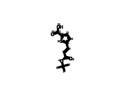 CC(C)(C)OC(=O)C=Cc1ccc(C(=O)O)s1